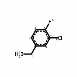 BCc1ccc(F)c(Cl)c1